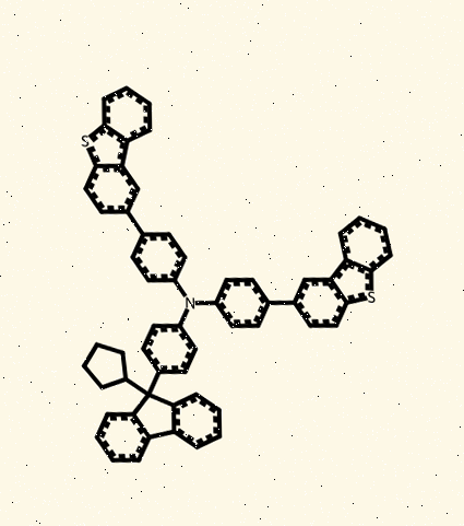 c1ccc2c(c1)-c1ccccc1C2(c1ccc(N(c2ccc(-c3ccc4sc5ccccc5c4c3)cc2)c2ccc(-c3ccc4sc5ccccc5c4c3)cc2)cc1)C1CCCC1